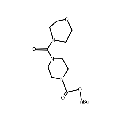 CCCCOC(=O)N1CCN(C(=O)N2CCOCC2)CC1